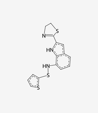 c1csc(SNc2cccc3cc(C4=NCCS4)[nH]c23)c1